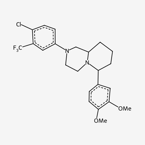 COc1ccc(C2CCCC3CN(c4ccc(Cl)c(C(F)(F)F)c4)CCN32)cc1OC